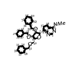 CNc1ncnn2c([C@@H]3O[C@H](COCc4ccccc4)[C@@H](OCc4ccccc4)[C@H]3OCc3ccccc3)ccc12